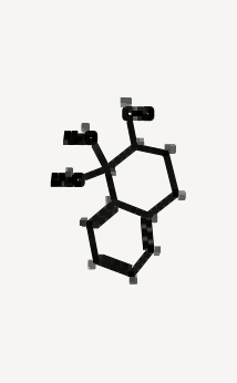 COC1(OC)c2ccccc2CCC1C=O